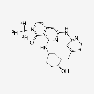 [2H]C([2H])([2H])n1ccc2cc(Nc3cc(C)ccn3)nc(N[C@H]3CC[C@H](O)CC3)c2c1=O